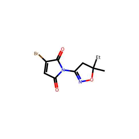 CCC1(C)CC(N2C(=O)C=C(Br)C2=O)=NO1